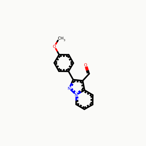 COc1ccc(-c2nn3ccccc3c2C=O)cc1